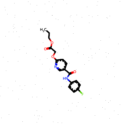 CCCOC(=O)COc1ccc(C(=O)Nc2ccc(F)cc2)cn1